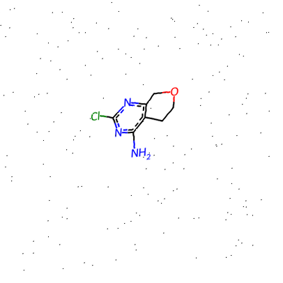 Nc1nc(Cl)nc2c1CCOC2